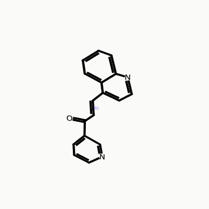 O=C(/C=C/c1ccnc2ccccc12)c1cccnc1